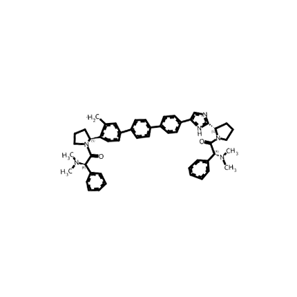 [CH2]c1cc(-c2ccc(-c3ccc(-c4cnc([C@@H]5CCCN5C(=O)[C@@H](c5ccccc5)N(C)C)[nH]4)cc3)cc2)ccc1[C@@H]1CCCN1C(=O)[C@@H](c1ccccc1)N(C)C